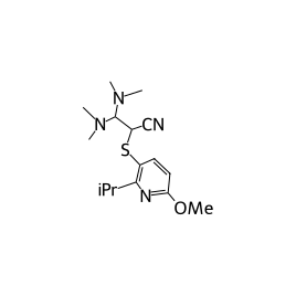 COc1ccc(SC(C#N)C(N(C)C)N(C)C)c(C(C)C)n1